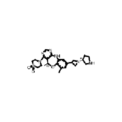 Cc1cc(C2CN([C@@H]3CCNC3)C2)cc2c1O[C@@H](C)c1c(ncnc1N1CCS(=O)(=O)CC1)N2